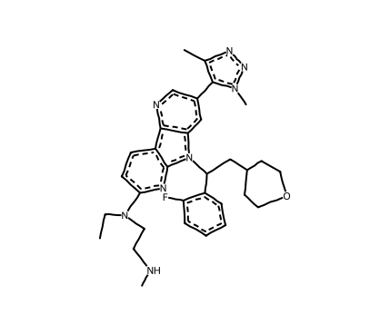 CCN(CCNC)c1ccc2c3ncc(-c4c(C)nnn4C)cc3n(C(CC3CCOCC3)c3ccccc3F)c2n1